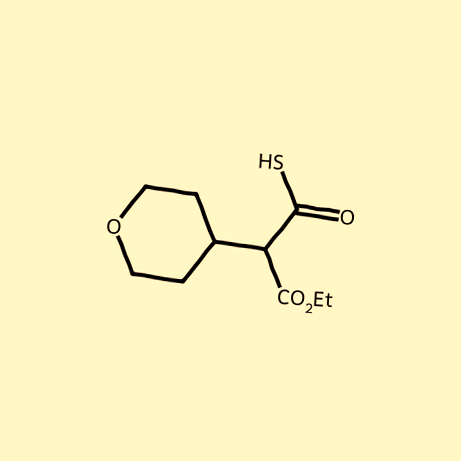 CCOC(=O)C(C(=O)S)C1CCOCC1